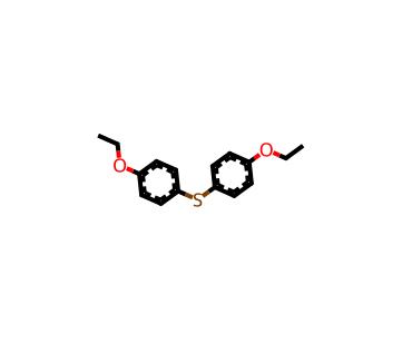 CCOc1ccc(Sc2ccc(OCC)cc2)cc1